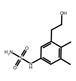 Cc1cc(NS(N)(=O)=O)cc(CCO)c1C